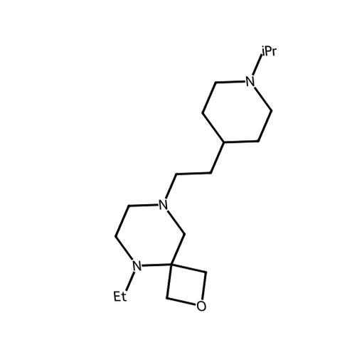 CCN1CCN(CCC2CCN(C(C)C)CC2)CC12COC2